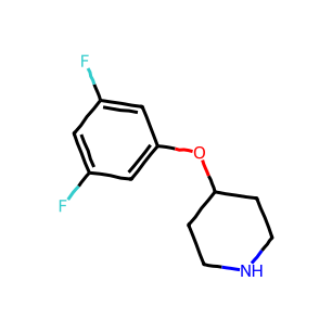 Fc1cc(F)cc(OC2CCNCC2)c1